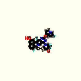 CCc1c(F)ccc2cc(O)cc(-c3ncc4c(N5CCC(=O)C(F)(F)C5)nc(OC[C@@]56CCCN5C[C@H](F)C6)nc4c3F)c12